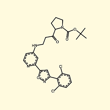 CC(C)(C)OC(=O)N1CCCC1C(=O)CCNc1ccnc(-c2cc(-c3c(Cl)cccc3Cl)no2)c1